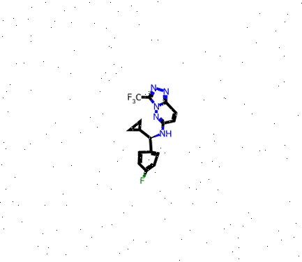 Fc1ccc([C@H](Nc2ccc3nnc(C(F)(F)F)n3n2)C2CC2)cc1